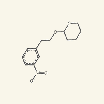 O=[N+]([O-])c1cc[c]c(CCOC2CCCCO2)c1